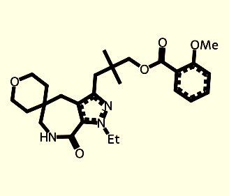 CCn1nc(CC(C)(C)COC(=O)c2ccccc2OC)c2c1C(=O)NCC1(CCOCC1)C2